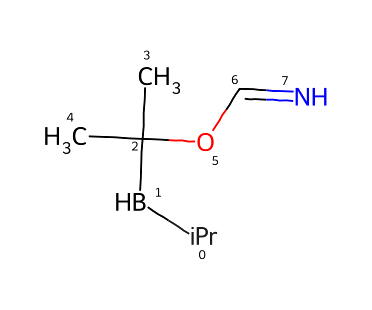 CC(C)BC(C)(C)OC=N